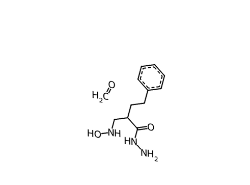 C=O.NNC(=O)C(CCc1ccccc1)CNO